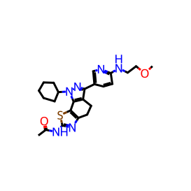 COCCNc1ccc(-c2nn(C3CCCCC3)c3c2CCc2nc(NC(C)=O)sc2-3)cn1